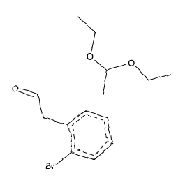 CCOC(C)OCC.O=CCc1ccccc1Br